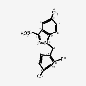 O=C(O)c1nn(Cc2ccc(Cl)cc2F)c2ccc(C(F)(F)F)cc12